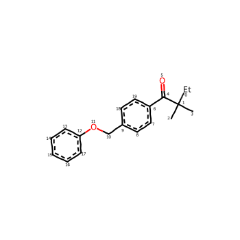 CCC(C)(C)C(=O)c1ccc(COc2ccccc2)cc1